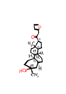 C[C@@]1(O)CC[C@H]2[C@@H](CC[C@@H]3[C@@H]2CC[C@]2(C)[C@@H](C(=O)Cc4ccco4)CC[C@@H]32)C1